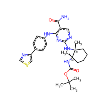 CC(C)(C)OC(=O)N[C@@]1(C)CCCC[C@@]1(C)Nc1ncc(C(N)=O)c(Nc2ccc(-c3cscn3)cc2)n1